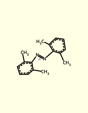 Cc1cccc(C)c1/N=N/c1c(C)cccc1C